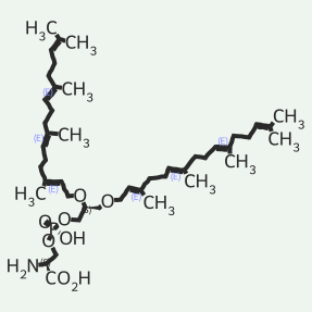 CC(C)=CCC/C(C)=C/CC/C(C)=C/CC/C(C)=C/COC[C@@H](COP(=O)(O)OC[C@H](N)C(=O)O)OC/C=C(\C)CC/C=C(\C)CC/C=C(\C)CCC=C(C)C